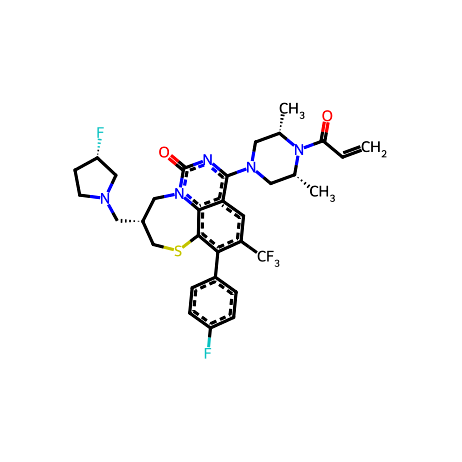 C=CC(=O)N1[C@H](C)CN(c2nc(=O)n3c4c(c(-c5ccc(F)cc5)c(C(F)(F)F)cc24)SC[C@H](CN2CC[C@H](F)C2)C3)C[C@@H]1C